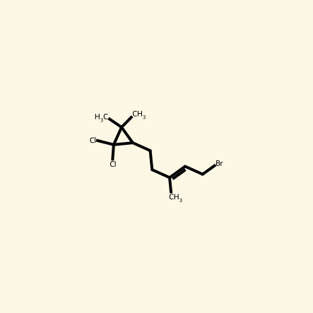 CC(=CCBr)CCC1C(C)(C)C1(Cl)Cl